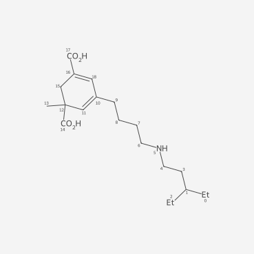 CCC(CC)CCNCCCCC1=CC(C)(C(=O)O)CC(C(=O)O)=C1